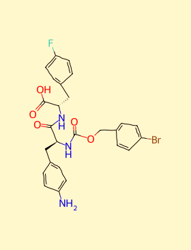 Nc1ccc(C[C@H](NC(=O)OCc2ccc(Br)cc2)C(=O)N[C@@H](Cc2ccc(F)cc2)C(=O)O)cc1